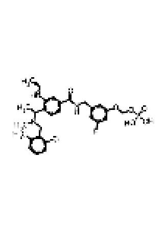 C=CNc1cc(C(=O)NCc2cc(F)cc(OCOP(=O)(O)O)c2)ccc1C(C)N(C)Cc1c(C)cccc1Cl